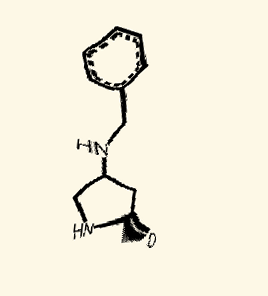 O=C1CC(NCc2ccccc2)CN1